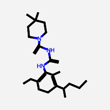 C=C(NC(=C)N1CCC(C)(C)CC1)NC1=C(CC)CCC(C(C)CCC)=C1C